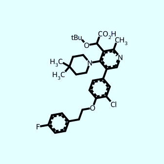 Cc1ncc(-c2ccc(OCCc3ccc(F)cc3)c(Cl)c2)c(N2CCC(C)(C)CC2)c1C(OC(C)(C)C)C(=O)O